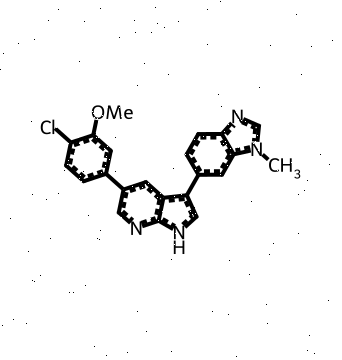 COc1cc(-c2cnc3[nH]cc(-c4ccc5ncn(C)c5c4)c3c2)ccc1Cl